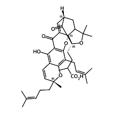 CC(C)=CCC[C@]1(C)C=Cc2c(O)c3c(c(CC=C(C)C)c2O1)O[C@]12C(=C[C@@H]4CC1C(C)(C)O[C@@]2(CCC(C)C(=O)O)C4=O)C3=O